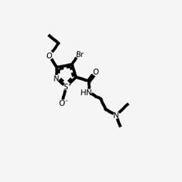 CCOc1n[s+]([O-])c(C(=O)NCCN(C)C)c1Br